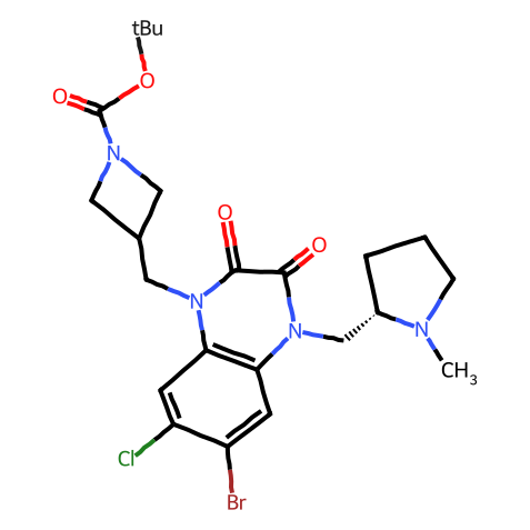 CN1CCC[C@H]1Cn1c(=O)c(=O)n(CC2CN(C(=O)OC(C)(C)C)C2)c2cc(Cl)c(Br)cc21